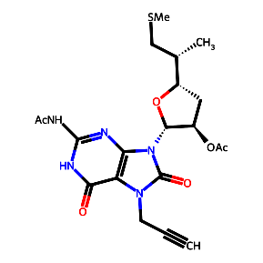 C#CCn1c(=O)n([C@@H]2O[C@H]([C@@H](C)CSC)C[C@H]2OC(C)=O)c2nc(NC(C)=O)[nH]c(=O)c21